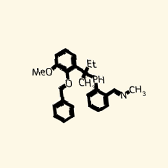 CCC(C)(Pc1ccccc1/C=N/C)c1cccc(OC)c1OCc1ccccc1